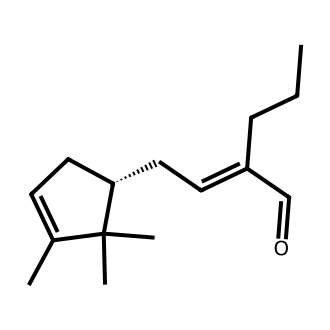 CCC/C(C=O)=C\C[C@H]1CC=C(C)C1(C)C